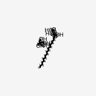 CCCCCCCCCCCCCCCCCCOP(=O)(O)OP(=O)(O)O.OCC(CO)(CO)CO